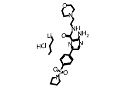 Cl.Nc1ncc(-c2ccc(S(=O)(=O)N3CCCC3)cc2)nc1C(=O)NCCN1CCOCC1.[Li][CH2]CCC